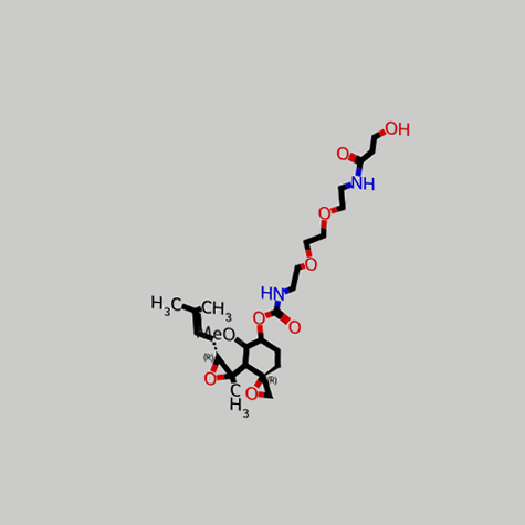 COC1C(OC(=O)NCCOCCOCCNC(=O)CCO)CC[C@]2(CO2)C1C1(C)O[C@@H]1CC=C(C)C